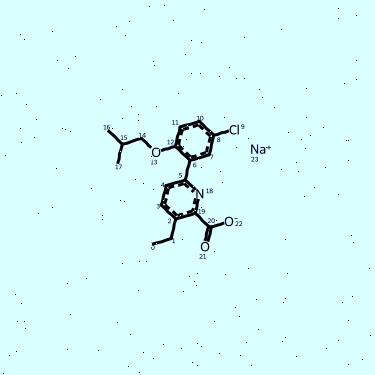 CCc1ccc(-c2cc(Cl)ccc2OCC(C)C)nc1C(=O)[O-].[Na+]